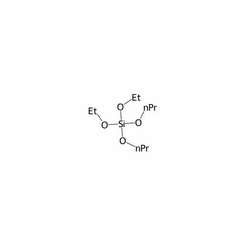 CCCO[Si](OCC)(OCC)OCCC